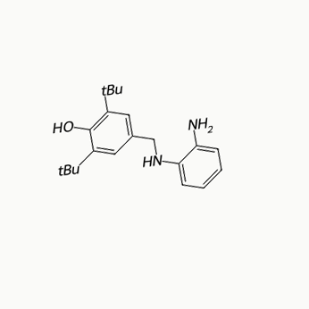 CC(C)(C)c1cc(CNc2ccccc2N)cc(C(C)(C)C)c1O